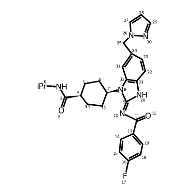 CC(C)NC(=O)[C@H]1CC[C@@H](n2/c(=N/C(=O)c3ccc(F)cc3)[nH]c3ccc(Cn4cccn4)cc32)CC1